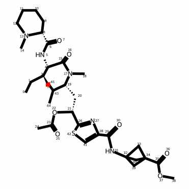 CC[C@H](C)[C@H](NC(=O)[C@H]1CCCCN1C)C(=O)N(C)[C@H](C[C@@H](OC(C)=O)c1nc(C(=O)NC23CC(C(=O)OC)(C2)C3)cs1)C(C)C